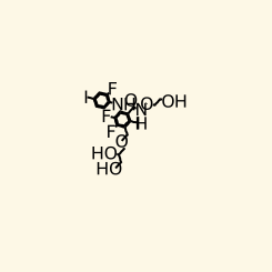 O=C(NOCCO)c1c(I)c(COCC(O)CO)c(F)c(F)c1Nc1ccc(I)cc1F